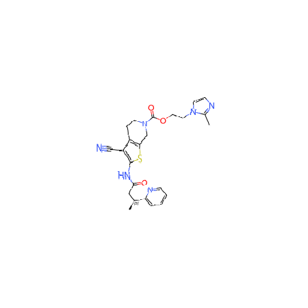 Cc1nccn1CCOC(=O)N1CCc2c(sc(NC(=O)C[C@H](C)c3ccccn3)c2C#N)C1